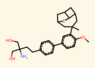 COc1ccc(-c2ccc(CCC(N)(CO)CO)cc2)cc1C1(C)CC2CC3CC(C1)C3C2